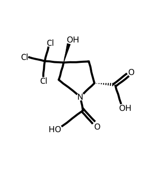 O=C(O)[C@H]1C[C@@](O)(C(Cl)(Cl)Cl)CN1C(=O)O